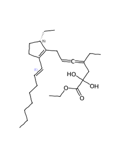 CCCCCC/C=C/C1=C(CC=C=C(CC)CC(O)(O)C(=O)OCC)[C@@H](CC)CC1